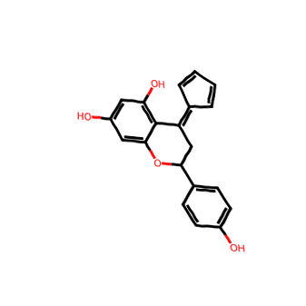 Oc1ccc(C2CC(=C3C=CC=C3)c3c(O)cc(O)cc3O2)cc1